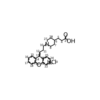 Cl.O=C(O)CCC1CCN(CCC=C2c3ccccc3Oc3ccccc32)CC1